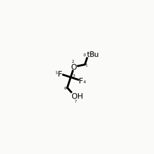 CC(C)(C)COC(F)(F)CO